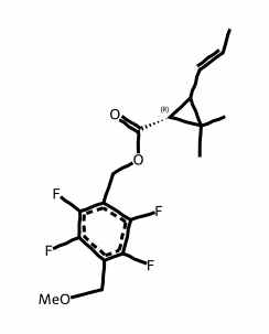 CC=CC1[C@@H](C(=O)OCc2c(F)c(F)c(COC)c(F)c2F)C1(C)C